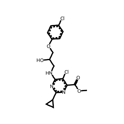 COC(=O)c1nc(C2CC2)nc(NCC(O)COc2ccc(Cl)cc2)c1Cl